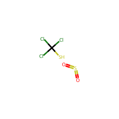 O=S=O.SC(Cl)(Cl)Cl